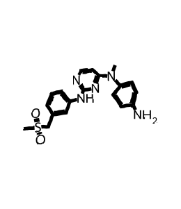 CN(c1ccc(N)cc1)c1ccnc(Nc2cccc(CS(C)(=O)=O)c2)n1